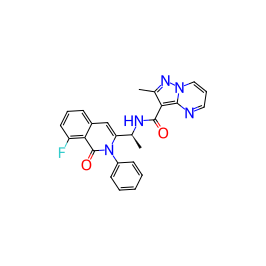 Cc1nn2cccnc2c1C(=O)N[C@@H](C)c1cc2cccc(F)c2c(=O)n1-c1ccccc1